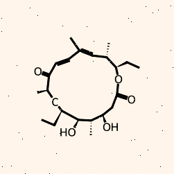 CC[C@H]1C[C@@H](C)C(=O)/C=C/C(C)=C/[C@H](C)[C@@H](CC)OC(=O)C[C@@H](O)[C@H](C)[C@H]1O